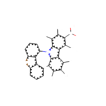 Bc1c(B)c(B)c2c(c1B)c1c(B)c(B(O)O)c(B)c(B)c1n2-c1cccc2sc3ccccc3c12